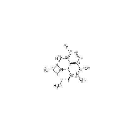 CCC[C@@H](CN1CC(O)C1)N(C)C(=O)c1ccc(F)c(C)c1